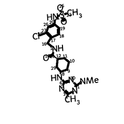 CNc1nc(C)nc(N[C@@H]2CCC[C@H](C(=O)NCc3ccc(NS(C)(=O)=O)cc3Cl)C2)n1